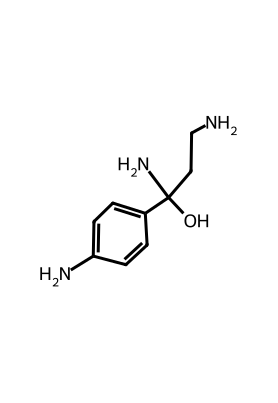 NCCC(N)(O)c1ccc(N)cc1